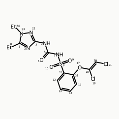 CCc1nc(NC(=O)NS(=O)(=O)c2ccccc2OC(Cl)=CCl)nn1CC